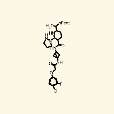 CCCCCC(C)C1CCC(C(=O)NC23CC(NC(=O)COc4ccc(Cl)c(F)c4)(C2)C3)C(N2CCCN2)N1